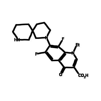 CCn1cc(C(=O)O)c(=O)c2cc(F)c(N3CCCC4(CCCNC4)C3)c(F)c21